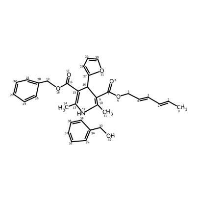 C/C=C/C=C/COC(=O)C1=C(C)NC(C)=C(C(=O)OCc2ccccc2)C1c1ccco1.OCc1ccccc1